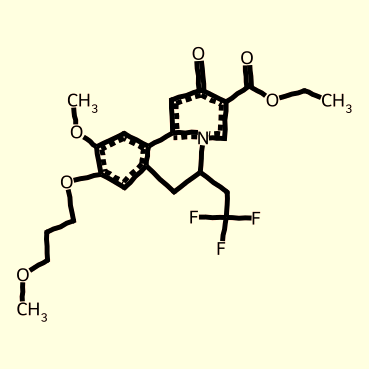 CCOC(=O)c1cn2c(cc1=O)-c1cc(OC)c(OCCCOC)cc1CC2CC(F)(F)F